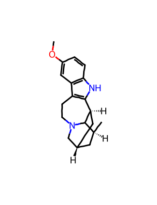 COc1ccc2[nH]c3c(c2c1)CCN1C[C@@H]2C[C@H]3C1[C@@H](C)C2